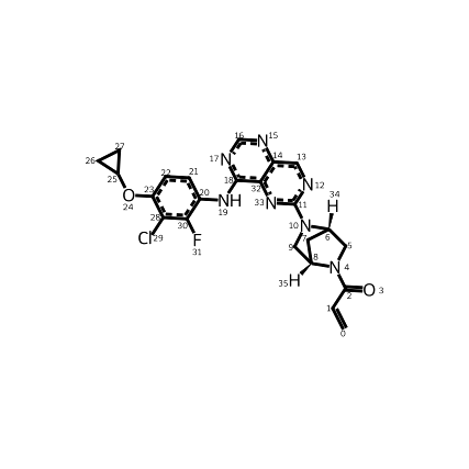 C=CC(=O)N1C[C@@H]2C[C@H]1CN2c1ncc2ncnc(Nc3ccc(OC4CC4)c(Cl)c3F)c2n1